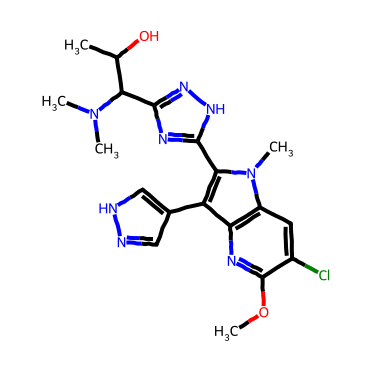 COc1nc2c(-c3cn[nH]c3)c(-c3nc(C(C(C)O)N(C)C)n[nH]3)n(C)c2cc1Cl